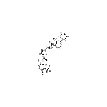 O=C(Nc1ccc(Cl)c(C(F)(F)F)c1)c1cnc(CNC(=O)c2ncnc(N3CCOCC3)c2Cl)s1